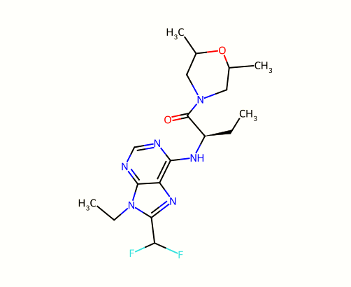 CC[C@@H](Nc1ncnc2c1nc(C(F)F)n2CC)C(=O)N1CC(C)OC(C)C1